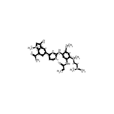 C=CC(=O)Nc1cc(Nc2nccc(-c3cc(C(N)=O)c4c(c3)c(Cl)cn4C)n2)c(OC)cc1N(C)CCN(C)C